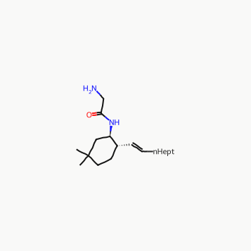 CCCCCCC/C=C/[C@@H]1CCC(C)(C)C[C@H]1NC(=O)CN